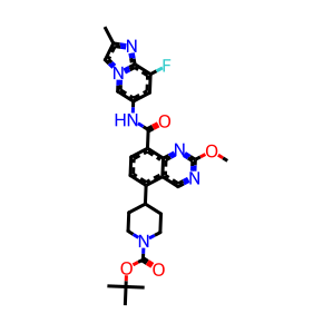 COc1ncc2c(C3CCN(C(=O)OC(C)(C)C)CC3)ccc(C(=O)Nc3cc(F)c4nc(C)cn4c3)c2n1